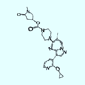 Cc1cn2ncc(-c3cccnc3OC3CC3)c2nc1N1CCN(C(=O)O[C@H]2CC(=O)N(C)C2)CC1